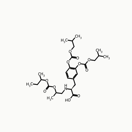 CCC(C)OC(=O)OC(C)CN[C@@H](Cc1ccc(OC(=O)OCC(C)C)c(OC(=O)OCC(C)C)c1)C(=O)O